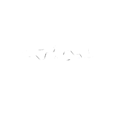 CCCc1ccc(C(=O)Oc2ccc(/C(F)=C/C(F)(F)F)cc2)cc1